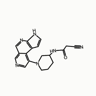 N#CCC(=O)NC1CCCN(c2cncc3cnc4[nH]ccc4c23)C1